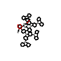 N#Cc1ccccc1-c1ccc(-n2c3ccc(-n4c5ccccc5c5ccccc54)cc3c3cc(-n4c5ccccc5c5ccccc54)ccc32)c(-c2cccc(-n3c4ccc(-n5c6ccccc6c6ccccc65)cc4c4cc(-n5c6ccccc6c6ccccc65)ccc43)c2-c2nc(-c3ccccc3)nc(-c3ccccc3)n2)c1